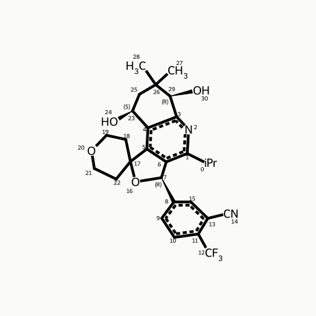 CC(C)c1nc2c(c3c1[C@@H](c1ccc(C(F)(F)F)c(C#N)c1)OC31CCOCC1)[C@@H](O)CC(C)(C)[C@H]2O